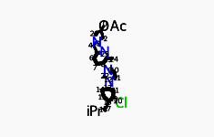 CC(=O)OC1CN(Cc2ccc(N3C=CN(c4ccc(CC(C)C)c(Cl)c4)C3)c(C)n2)C1